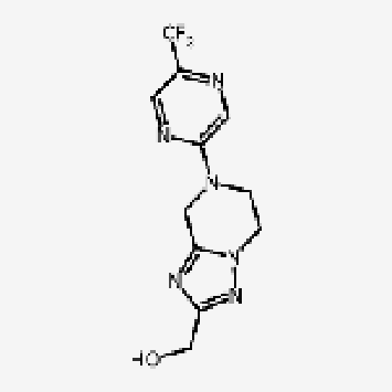 OCc1nc2n(n1)CCN(c1cnc(C(F)(F)F)cn1)C2